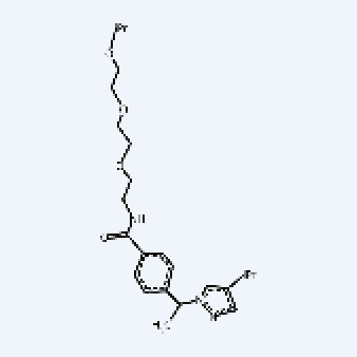 CC(C)OCCOCCOCCNC(=O)c1ccc(C(C)n2cc(C(C)C)cn2)cc1